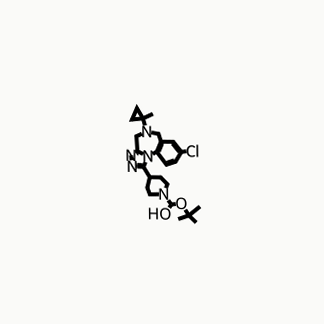 CC(C)(C)OC(O)N1CCC(c2nnc3n2-c2ccc(Cl)cc2CN(C2(C)CC2)C3)CC1